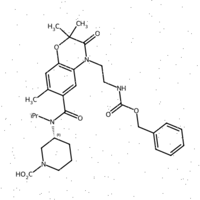 Cc1cc2c(cc1C(=O)N(C(C)C)[C@@H]1CCCN(C(=O)O)C1)N(CCNC(=O)OCc1ccccc1)C(=O)C(C)(C)O2